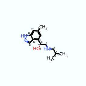 Cc1cc([C@@H](O)CNCC(C)C)c2cn[nH]c2c1